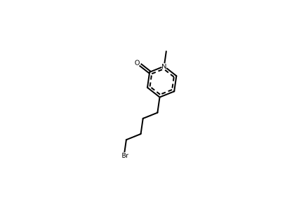 Cn1ccc(CCCCBr)cc1=O